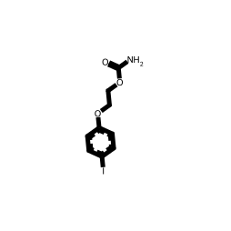 NC(=O)OCCOc1ccc(I)cc1